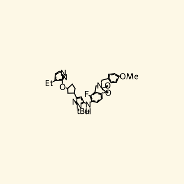 CCc1ccnnc1OC1CCC(c2cc(Nc3ccc4c(c3F)CN(Cc3ccc(OC)cc3)S4(=O)=O)n(C(C)(C)C)n2)C1